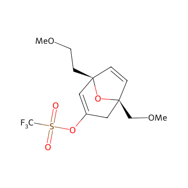 COCC[C@]12C=C[C@](COC)(CC(OS(=O)(=O)C(F)(F)F)=C1)O2